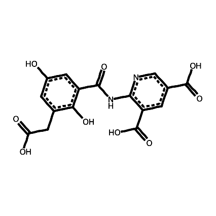 O=C(O)Cc1cc(O)cc(C(=O)Nc2ncc(C(=O)O)cc2C(=O)O)c1O